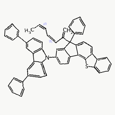 C=C(/C=C\C=C/C)C1(c2ccccc2)c2cc(-n3c4ccc(-c5ccccc5)cc4c4cc(-c5ccccc5)ccc43)ccc2-c2c1ccc1c2sc2ccccc21